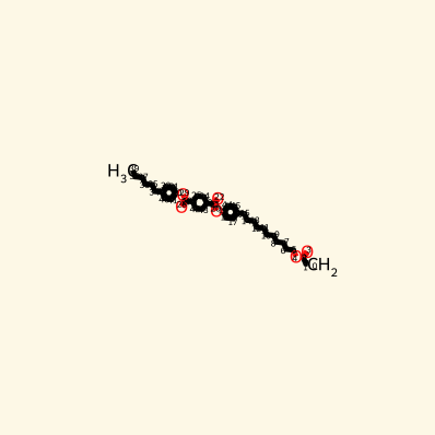 C=CC(=O)OCCCCCCCCCCCc1ccc(OC(=O)C2CCC(C(=O)Oc3ccc(CCCCCC)cc3)CC2)cc1